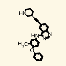 Cc1cc(Nc2ncnc3ccc(C#C[C@@H]4CCCNC4)cc23)ccc1Oc1ccccc1